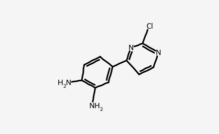 Nc1ccc(-c2ccnc(Cl)n2)cc1N